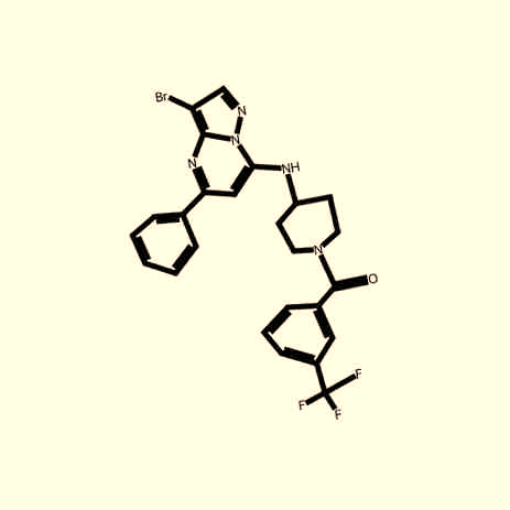 O=C(c1cccc(C(F)(F)F)c1)N1CCC(Nc2cc(-c3ccccc3)nc3c(Br)cnn23)CC1